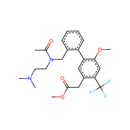 COC(=O)Cc1cc(-c2ccccc2CN(CCN(C)C)C(C)=O)c(OC)cc1C(F)(F)F